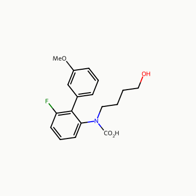 COc1cccc(-c2c(F)cccc2N(CCCCO)C(=O)O)c1